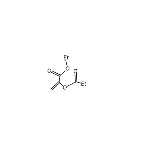 C=C(OC(=O)CC)C(=O)OCC